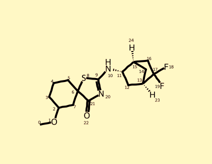 COC1CCCC2(C1)SC(N[C@H]1C[C@H]3C[C@@H]1CC3(F)F)=NC2=O